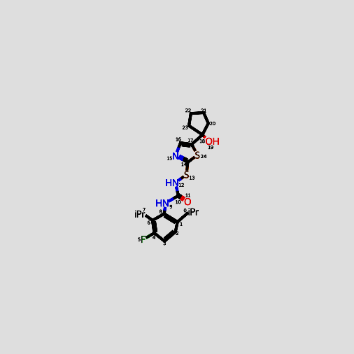 CC(C)c1ccc(F)c(C(C)C)c1NC(=O)NSc1ncc(C2(O)CCCC2)s1